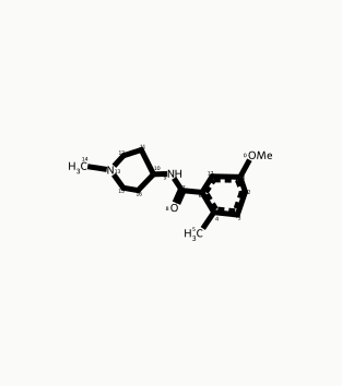 COc1ccc(C)c(C(=O)NC2CCN(C)CC2)c1